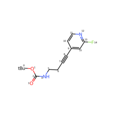 CC(C)(C)OC(=O)NCCC#Cc1ccnc(F)c1